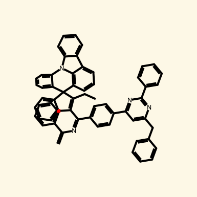 C=C(/N=C(\C1=C(CC)C2(c3ccccc31)c1ccccc1-n1c3ccccc3c3cccc2c31)c1ccc(-c2cc(Cc3ccccc3)nc(-c3ccccc3)n2)cc1)c1ccccc1